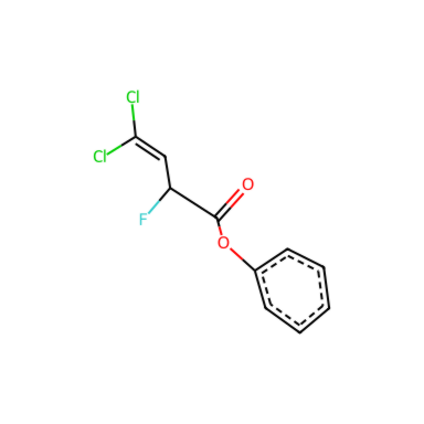 O=C(Oc1ccccc1)C(F)C=C(Cl)Cl